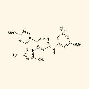 COc1cc(Nc2ncc(-c3cnc(OC)nc3)c(-n3nc(C(F)(F)F)cc3C)n2)cc(C(F)(F)F)c1